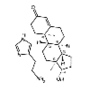 C[C@]12CC[C@H]3[C@@H](CCC4=CC(=O)CC[C@@]43C)[C@@H]1CC[C@@H]2O.NCCc1c[nH]cn1